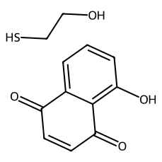 O=C1C=CC(=O)c2c(O)cccc21.OCCS